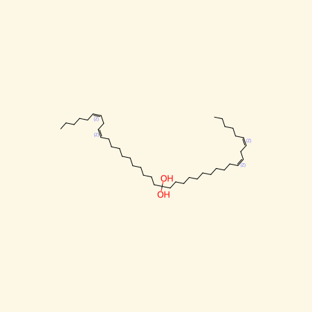 CCCCC/C=C\C/C=C\CCCCCCCCCCC(O)(O)CCCCCCCCCC/C=C\C/C=C\CCCCC